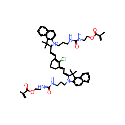 C=C(C)C(=O)OCCNC(=O)NCCCN1/C(=C/C=C2\CCCC(/C=C/C3=[N+](CCCNC(=O)NCCOC(=O)C(=C)C)c4ccc5ccccc5c4C3(C)C)=C2Cl)C(C)(C)c2c1ccc1ccccc21